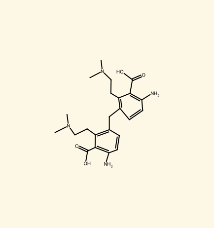 CN(C)CCc1c(Cc2ccc(N)c(C(=O)O)c2CCN(C)C)ccc(N)c1C(=O)O